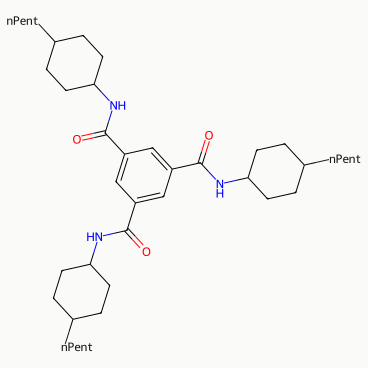 CCCCCC1CCC(NC(=O)c2cc(C(=O)NC3CCC(CCCCC)CC3)cc(C(=O)NC3CCC(CCCCC)CC3)c2)CC1